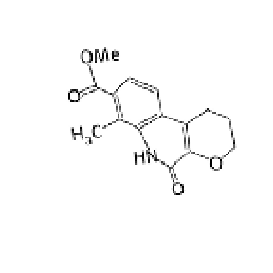 COC(=O)c1ccc2c3c(c(=O)[nH]c2c1C)OCCC3